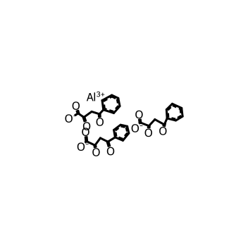 O=C([O-])C(=O)CC(=O)c1ccccc1.O=C([O-])C(=O)CC(=O)c1ccccc1.O=C([O-])C(=O)CC(=O)c1ccccc1.[Al+3]